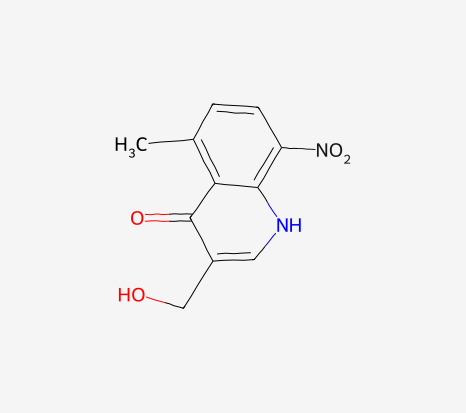 Cc1ccc([N+](=O)[O-])c2[nH]cc(CO)c(=O)c12